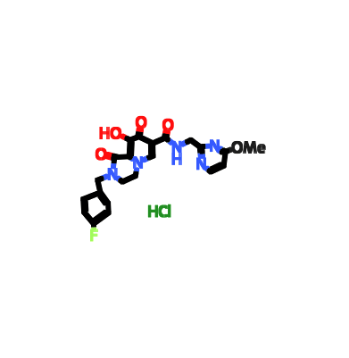 COc1ccnc(CNC(=O)c2cn3c(c(O)c2=O)C(=O)N(Cc2ccc(F)cc2)CC3)n1.Cl